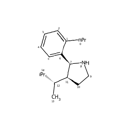 CCCc1ccccc1[C@H]1NCC[C@H]1[C@H](C)C(C)C